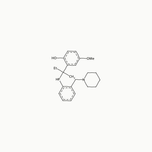 CCC(C)(Pc1ccccc1CN1CCCCC1)c1cc(OC)ccc1O